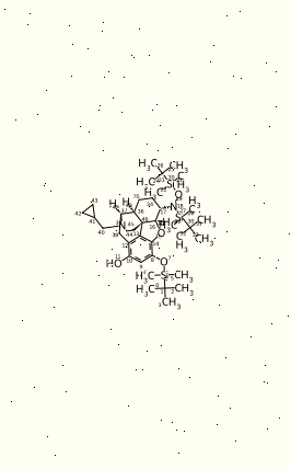 CC(C)(C)[Si](C)(C)Oc1cc(O)c2c3c1O[C@H]1[C@H](N(O[Si](C)(C)C(C)(C)C)[Si](C)(C)C(C)(C)C)CC[C@H]4[C@@H](C2)N(CC2CC2)CC[C@@]341